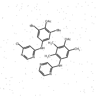 CC(=O)Oc1c(C(C)(C)C)cc(Nc2cc(Cl)ncn2)cc1C(C)(C)C.CC(=O)Oc1c(C)cc(Nc2cnccn2)c(C)c1C